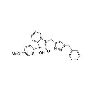 COc1ccc(C2(O)C(=O)N(Cc3cn(Cc4ccccc4)nn3)c3ccccc32)cc1